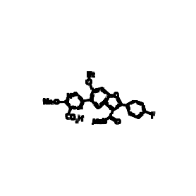 CCOc1cc2oc(-c3ccc(F)cc3)c(C(=O)NC)c2cc1-c1cnc(OC)c(C(=O)O)c1